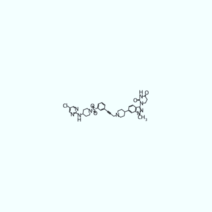 Cn1nc(N2CCC(=O)NC2=O)c2ccc(C3CCN(CC#Cc4cccc(S(=O)(=O)N5CCC(Nc6ncc(Cl)cn6)CC5)c4)CC3)cc21